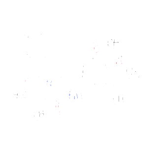 COc1cc(C2=CN(C(=O)c3ccccc3)[C@@H](C(C)C)C(=O)N2)cc(OC)c1OC